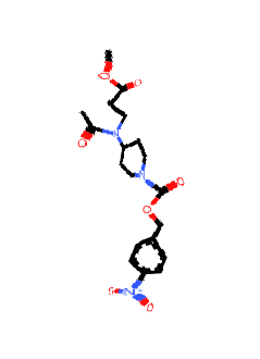 COC(=O)CCN(C(C)=O)C1CCN(C(=O)OCc2ccc([N+](=O)[O-])cc2)CC1